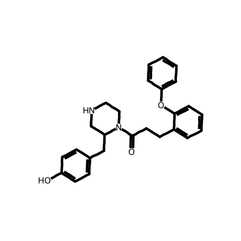 O=C(CCc1ccccc1Oc1ccccc1)N1CCNCC1Cc1ccc(O)cc1